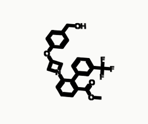 COC(=O)c1cccc(N2CC(Oc3ccc(CO)cc3)C2)c1-c1cccc(C(F)(F)F)c1